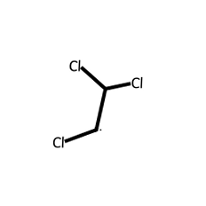 Cl[CH]C(Cl)Cl